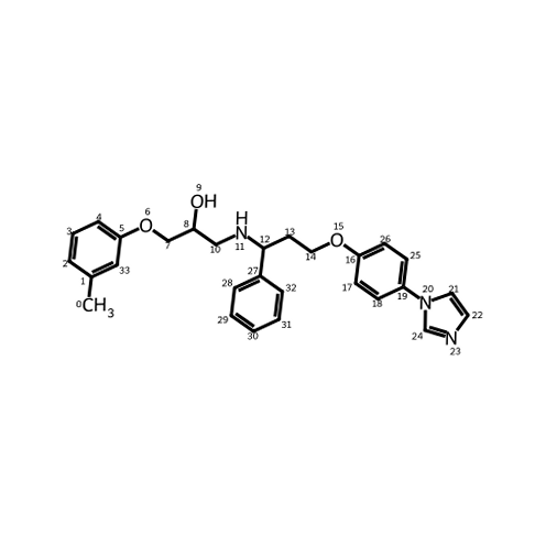 Cc1cccc(OCC(O)CNC(CCOc2ccc(-n3ccnc3)cc2)c2ccccc2)c1